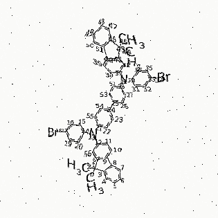 CC1(C)c2ccccc2-c2ccc(N(c3ccc(Br)cc3)c3ccc(-c4ccc(N(c5ccc(Br)cc5)c5ccc6c(c5)C(C)(C)c5ccccc5-6)cc4)cc3)cc21